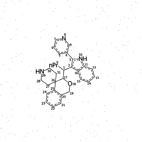 CCCC(c1c(-c2cccnc2)[nH]c2ccccc12)C1OCc2ccccc2C12CCNCC2